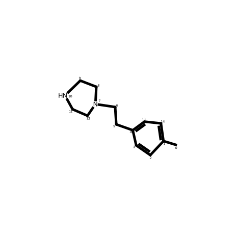 Cc1ccc(CCN2CCNCC2)cc1